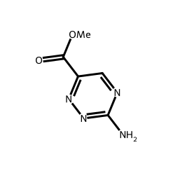 COC(=O)c1cnc(N)nn1